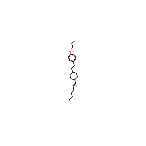 CCCOc1ccc(CCC2CCC(/C=C/CCCCF)CC2)cc1